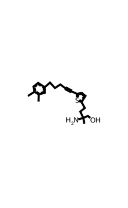 Cc1ccc(CCCC#Cc2ccc(CCC(C)(N)CO)s2)cc1C